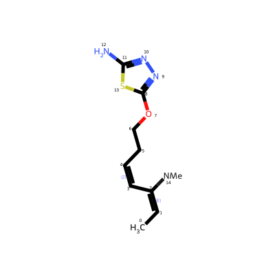 C/C=C(\C=C/CCOc1nnc(N)s1)NC